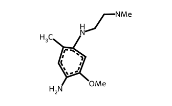 CNCCNc1cc(OC)c(N)cc1C